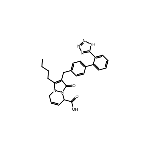 CCCCc1c(Cc2ccc(-c3ccccc3-c3nnn[nH]3)cc2)c(=O)n2n1CC=CC2C(=O)O